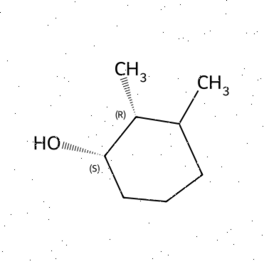 CC1CCC[C@H](O)[C@@H]1C